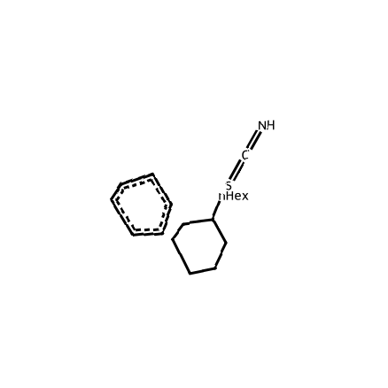 CCCCCCC1CCCCC1.N=C=S.c1ccccc1